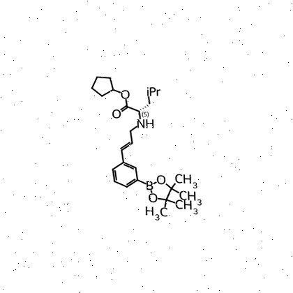 CC(C)C[C@H](NCC=Cc1cccc(B2OC(C)(C)C(C)(C)O2)c1)C(=O)OC1CCCC1